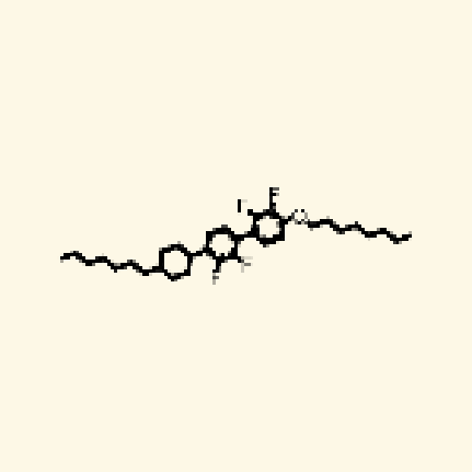 CCCCCCCCOc1ccc(-c2ccc(C3CCC(CCCCCCC)CC3)c(F)c2F)c(F)c1F